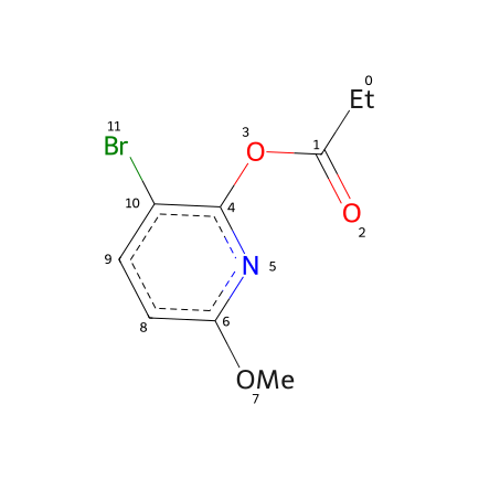 CCC(=O)Oc1nc(OC)ccc1Br